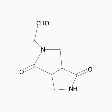 O=CCN1CC2C(=O)NCC2C1=O